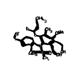 CC=C(CC)Oc1c(C)c(OC)c(CO)c(CO)c1N(c1ccc(SCC)cc1C(F)(F)F)S(C)(=O)=O